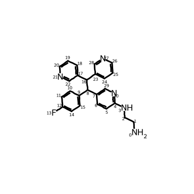 NCCNc1ccc(C(c2ccc(F)cc2)C(c2cccnc2)c2cccnc2)cn1